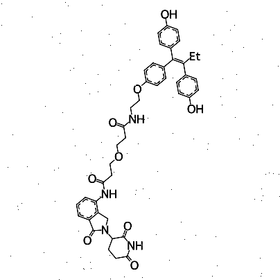 CCC(=C(c1ccc(O)cc1)c1ccc(OCCNC(=O)CCOCCC(=O)Nc2cccc3c2CN(C2CCC(=O)NC2=O)C3=O)cc1)c1ccc(O)cc1